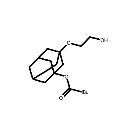 CCC(C)C(=O)OC12CC3CC(CC(OCCO)(C3)C1)C2